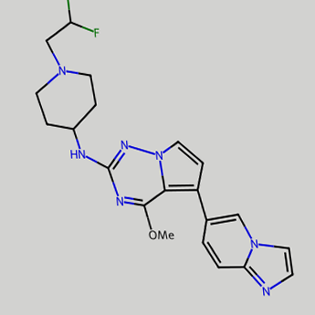 COc1nc(NC2CCN(CC(F)F)CC2)nn2ccc(-c3ccc4nccn4c3)c12